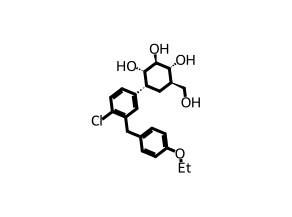 CCOc1ccc(Cc2cc([C@H]3C[C@H](CO)[C@@H](O)[C@H](O)[C@H]3O)ccc2Cl)cc1